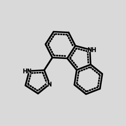 c1ccc2c(c1)[nH]c1cccc(-c3ncc[nH]3)c12